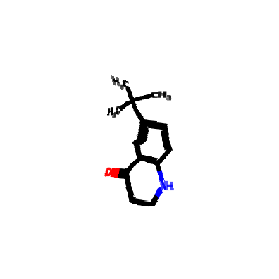 CC(C)(C)c1ccc2c(c1)C(=O)CCN2